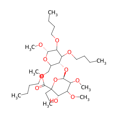 CCCCOCC1O[C@H](OC)C(OCCCC)C(OCCCC)[C@@H]1O[C@@H]1OC(CC)(C(=O)OC)[C@@H](O)C(OC)C1OC